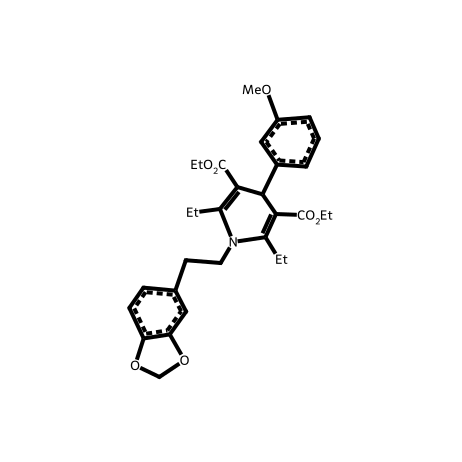 CCOC(=O)C1=C(CC)N(CCc2ccc3c(c2)OCO3)C(CC)=C(C(=O)OCC)C1c1cccc(OC)c1